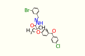 CC(C)(Oc1ccc(C(=O)c2ccc(Cl)cc2)cc1)C(=O)N/N=C/c1cccc(Br)c1